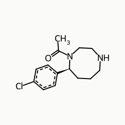 CC(=O)N1CCNCCC[C@H]1c1ccc(Cl)cc1